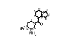 CC(C)[C@@H]1CCN(C(=O)c2cccn3cncc23)C[C@H]1N